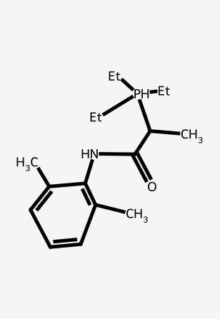 CC[PH](CC)(CC)C(C)C(=O)Nc1c(C)cccc1C